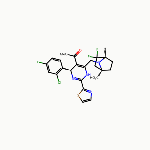 COC(=O)C1=C(CN2[C@H]3CC[C@]2(C(=O)O)CC3(F)F)NC(c2nccs2)=N[C@H]1c1ccc(F)cc1Cl